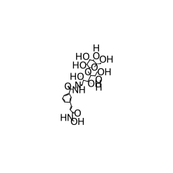 O=C(/C=C/c1cccc(C(=O)N/N=C/[C@H](O)[C@@H](O)[C@@H](O[C@@H]2O[C@H](CO)[C@H](O)[C@H](O)[C@H]2O)[C@H](O)CO)c1)NO